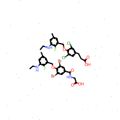 CCNc1cc(C)cc(COc2c(Br)cc(C(=O)NCC(=O)O)cc2Br)c1F.CCNc1cc(C)cc(COc2c(Cl)cc(CCC(=O)O)cc2Cl)c1F